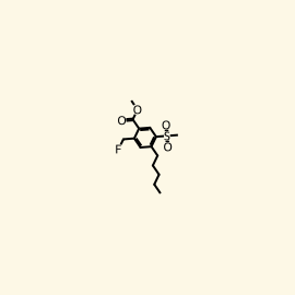 CCCCCc1cc(CF)c(C(=O)OC)cc1S(C)(=O)=O